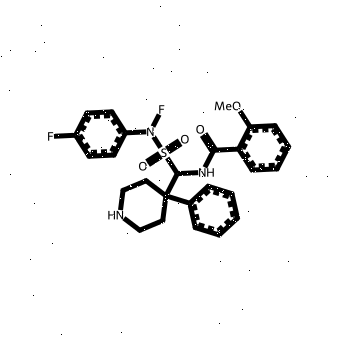 COc1ccccc1C(=O)NC(C1(c2ccccc2)CCNCC1)S(=O)(=O)N(F)c1ccc(F)cc1